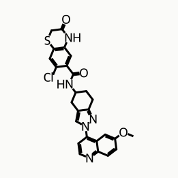 COc1ccc2nccc(-n3cc4c(n3)CCC(NC(=O)c3cc5c(cc3Cl)SCC(=O)N5)C4)c2c1